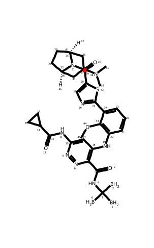 BC(B)(B)NC(=O)c1nnc(NC(=O)C2CC2)cc1Nc1cccc(-c2ncc(C(=O)N3[C@@H]4CC[C@H]3CC(N(C)C)C4)s2)c1OC